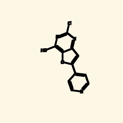 Oc1nc(Cl)nc2cc(-c3ccncc3)oc12